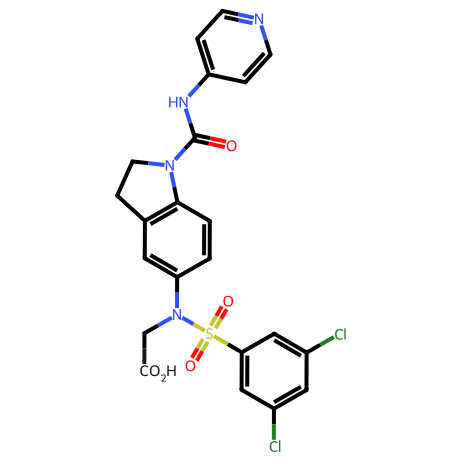 O=C(O)CN(c1ccc2c(c1)CCN2C(=O)Nc1ccncc1)S(=O)(=O)c1cc(Cl)cc(Cl)c1